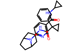 O=C(NC1CC1)c1ccc(N2C3CCC2CC(NC(=O)C2(c4ccccc4)CC2)C3)nc1